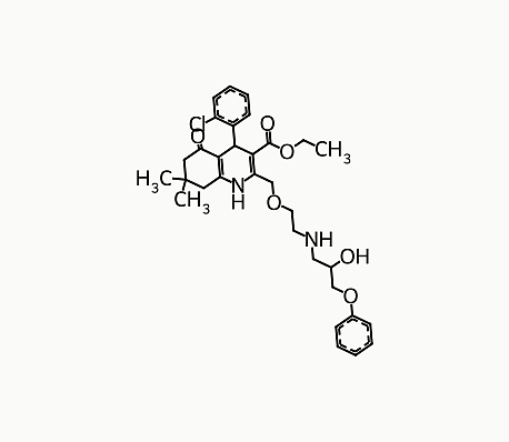 CCOC(=O)C1=C(COCCNCC(O)COc2ccccc2)NC2=C(C(=O)CC(C)(C)C2)C1c1ccccc1Cl